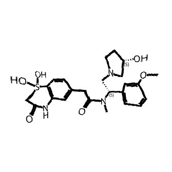 COc1cccc([C@@H](CN2CC[C@H](O)C2)N(C)C(=O)Cc2ccc3c(c2)NC(=O)CS3(O)O)c1